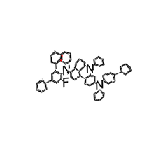 Fc1cc(-c2ccccc2)cc(-c2ccccc2)c1N(c1ccccc1)c1ccc2c3c(cccc13)N(c1ccccc1)c1cc(N(c3ccccc3)c3ccc(-c4ccccc4)cc3)ccc1-2